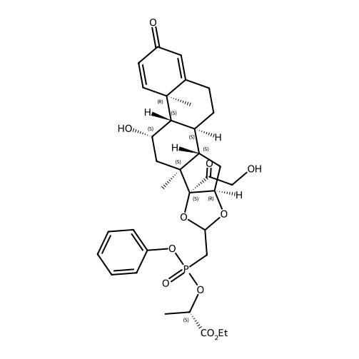 CCOC(=O)[C@H](C)OP(=O)(CC1O[C@@H]2C[C@H]3[C@@H]4CCC5=CC(=O)C=C[C@]5(C)[C@H]4[C@@H](O)C[C@]3(C)[C@]2(C(=O)CO)O1)Oc1ccccc1